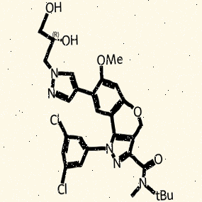 COc1cc2c(cc1-c1cnn(C[C@@H](O)CO)c1)-c1c(c(C(=O)N(C)C(C)(C)C)nn1-c1cc(Cl)cc(Cl)c1)CO2